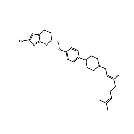 CC(C)=CCC/C(C)=C/CN1CCN(c2ccc(OC[C@H]3CCn4cc([N+](=O)[O-])nc4O3)cc2)CC1